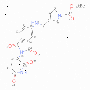 CC(C)(C)OC(=O)N1CCC(CNc2ccc3c(c2)C(=O)N(C2CCC(=O)NC2=O)C3=O)C1